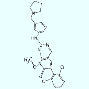 COn1c(=O)c(-c2c(Cl)cccc2Cl)cc2cnc(Nc3cccc(CN4CCCC4)c3)nc21